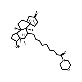 C[C@]12CCC(=O)CC1CC[C@@H]1[C@H]2C(CCCCCCCCC(=O)N2CCOCC2)C[C@]2(C)C(O)CC[C@@H]12